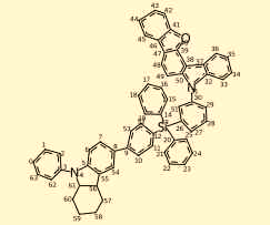 c1ccc(N2c3ccc(-c4ccc([Si](c5ccccc5)(c5ccccc5)c5cccc(-n6c7ccccc7c7c8oc9ccccc9c8ccc76)c5)cc4)cc3C3CCCCC32)cc1